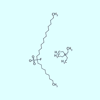 CCCCCCCCCCCCCCCC(F)(CCCCCCCCC)S(=O)(=O)[O-].CC[N+](CC)(CC)CC